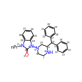 CCCn1c(=O)n(N2CCNC(C(c3ccccc3)c3ccccc3)C2)c2ccccc21